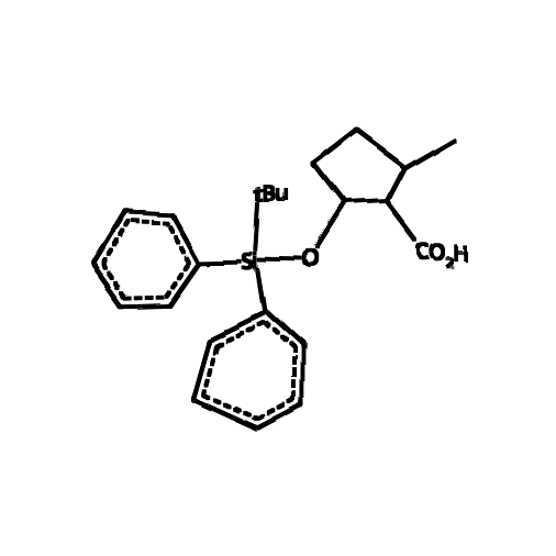 CC1CCC(O[Si](c2ccccc2)(c2ccccc2)C(C)(C)C)C1C(=O)O